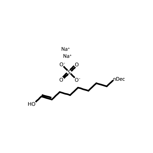 CCCCCCCCCCCCCCCCC=CO.O=S(=O)([O-])[O-].[Na+].[Na+]